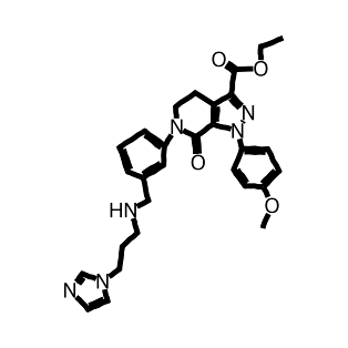 CCOC(=O)c1nn(-c2ccc(OC)cc2)c2c1CCN(c1cccc(CNCCCn3ccnc3)c1)C2=O